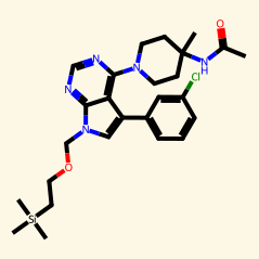 CC(=O)NC1(C)CCN(c2ncnc3c2c(-c2cccc(Cl)c2)cn3COCC[Si](C)(C)C)CC1